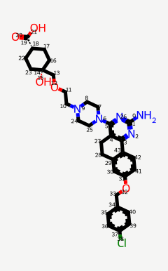 Nc1nc2c(c(N3CCN(CCOC[C@]4(O)CC[C@@H](C(=O)O)CC4)CC3)n1)CCc1cc(OCc3ccc(Cl)cc3)ccc1-2